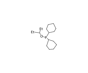 CCC(CC)OP(C1CCCCC1)C1CCCCC1